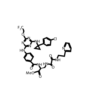 COC(=O)[C@H](CNC(=O)C(=O)NCCc1ccccn1)NC(=O)c1ccc(Nc2nc(NC3(c4ccc(Cl)cc4)CC3)nc(OCC(F)(F)F)n2)cc1